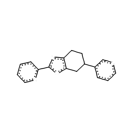 c1ccc(-c2nc3c(o2)CC(c2cccnc2)CC3)nc1